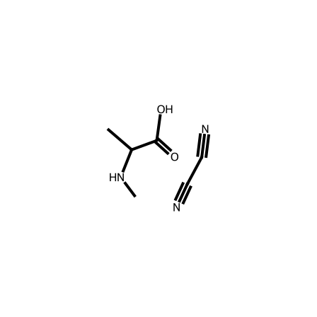 CNC(C)C(=O)O.N#CC#N